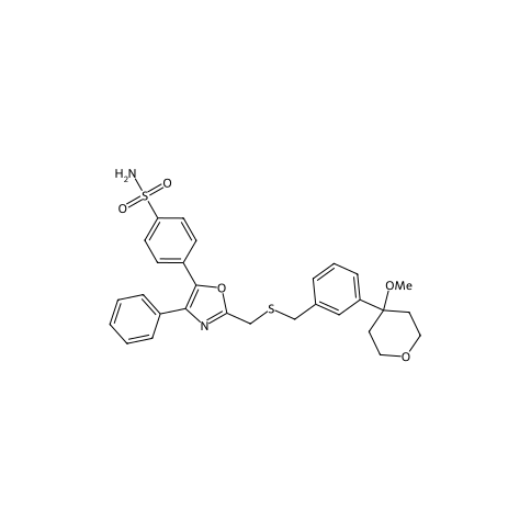 COC1(c2cccc(CSCc3nc(-c4ccccc4)c(-c4ccc(S(N)(=O)=O)cc4)o3)c2)CCOCC1